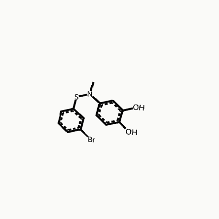 CN(Sc1cccc(Br)c1)c1ccc(O)c(O)c1